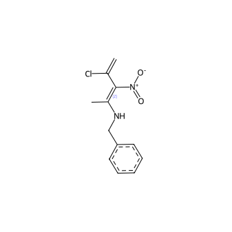 C=C(Cl)/C(=C(\C)NCc1ccccc1)[N+](=O)[O-]